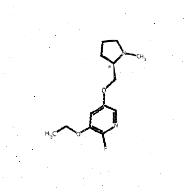 CCOc1cc(OC[C@H]2CCCN2C)cnc1F